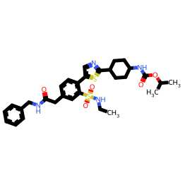 CCNS(=O)(=O)c1cc(CC(=O)NCc2ccccc2)ccc1-c1cnc(C2CCC(NC(=O)OC(C)C)CC2)s1